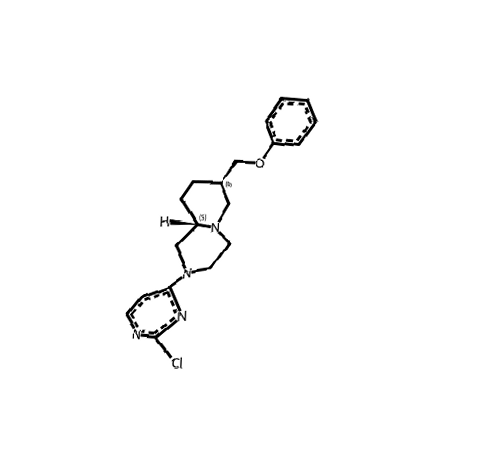 Clc1nccc(N2CCN3C[C@H](COc4ccccc4)CC[C@H]3C2)n1